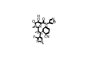 C[C@@H](c1nc(C(=O)Nc2cnoc2)c(O)c(=O)n1C)[C@@H](c1ccccc1C#N)c1cn(C)nc1F